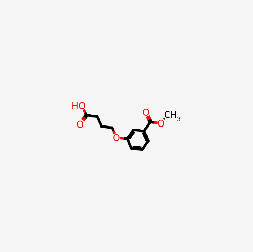 COC(=O)c1cccc(OCCCC(=O)O)c1